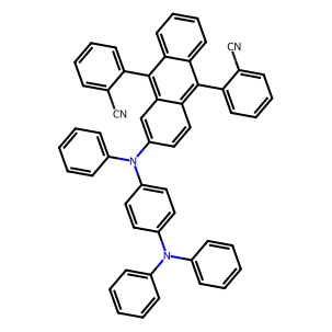 N#Cc1ccccc1-c1c2ccccc2c(-c2ccccc2C#N)c2cc(N(c3ccccc3)c3ccc(N(c4ccccc4)c4ccccc4)cc3)ccc12